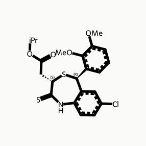 COc1cccc([C@@H]2S[C@@H](CC(=O)OC(C)C)C(=S)Nc3ccc(Cl)cc32)c1OC